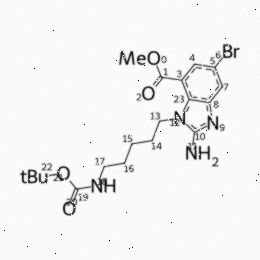 COC(=O)c1cc(Br)cc2nc(N)n(CCCCCNC(=O)OC(C)(C)C)c12